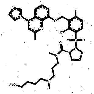 CC(=O)OCCCCN(C)CCCN(C)C(=O)[C@@H]1CCCN1S(=O)(=O)c1ccc(Cl)c(COc2cccc3c(-n4ccnc4)cc(C)nc23)c1Cl